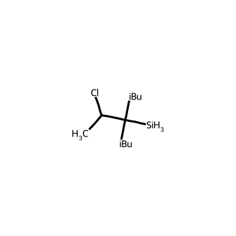 CCC(C)C([SiH3])(C(C)Cl)C(C)CC